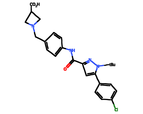 CC(C)(C)n1nc(C(=O)Nc2ccc(CN3CC(C(=O)O)C3)cc2)cc1-c1ccc(Cl)cc1